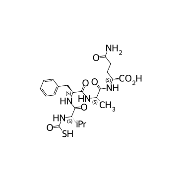 CC(C)[C@H](NC(=O)S)C(=O)N[C@@H](Cc1ccccc1)C(=O)N[C@@H](C)C(=O)N[C@@H](CCC(N)=O)C(=O)O